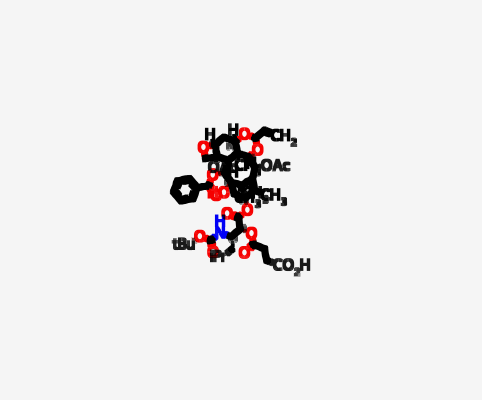 C=CC1O[C@H]2C[C@H]3OC[C@@]3(OC(C)=O)[C@H]3[C@H](OC(=O)c4ccccc4)[C@]4(O)C[C@H](OC(=O)[C@H](OC(=O)CCC(=O)O)[C@H](CC(C)C)NC(=O)OC(C)(C)C)C(C)=C([C@H](OC(C)=O)[C@H](O1)[C@]23C)C4(C)C